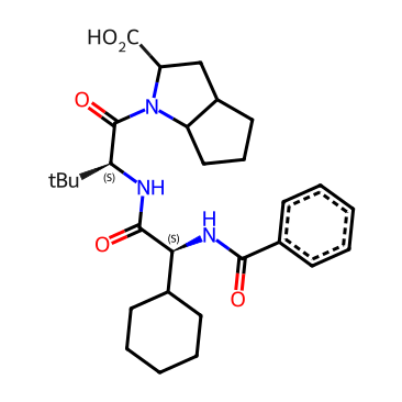 CC(C)(C)[C@H](NC(=O)[C@@H](NC(=O)c1ccccc1)C1CCCCC1)C(=O)N1C(C(=O)O)CC2CCCC21